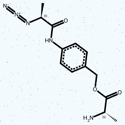 C[C@H](N)C(=O)OCc1ccc(NC(=O)[C@H](C)N=[N+]=[N-])cc1